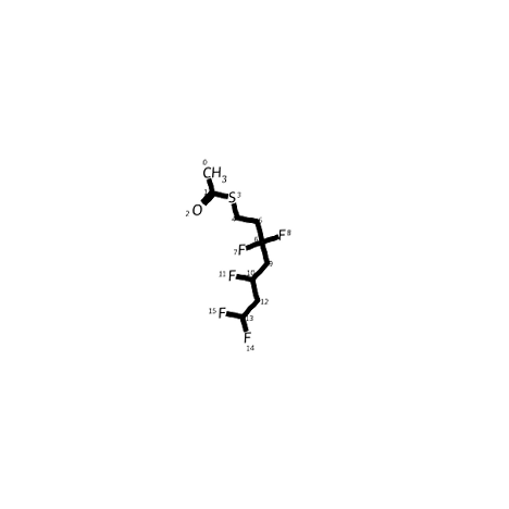 CC(=O)SCCC(F)(F)CC(F)CC(F)F